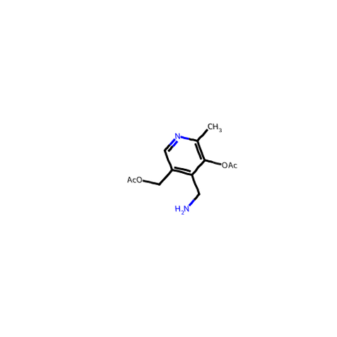 CC(=O)OCc1cnc(C)c(OC(C)=O)c1CN